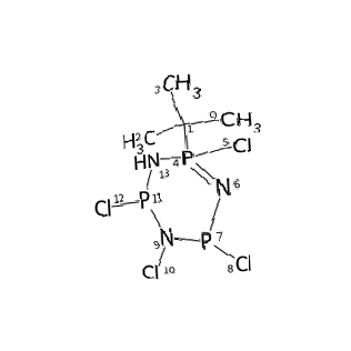 CC(C)(C)P1(Cl)=NP(Cl)N(Cl)P(Cl)N1